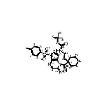 Cc1ccc(S(=O)(=O)n2ccc3c2ncc2nnc(C4(CCNC(=O)OC(C)(C)C)CCCCC4)n23)cc1